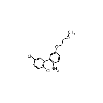 COCCOc1ccc(N)c(-c2cc(Cl)ncc2Cl)c1